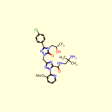 COc1cccnc1-n1nc(Cn2nc(-c3ccc(Cl)cc3)n(C[C@H](O)C(F)(F)F)c2=O)nc1C(=O)NCC(C)(C)N